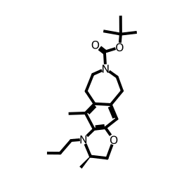 CCCN1c2c(cc3c(c2C)CCN(C(=O)OC(C)(C)C)CC3)OC[C@H]1C